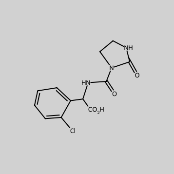 O=C(O)C(NC(=O)N1CCNC1=O)c1ccccc1Cl